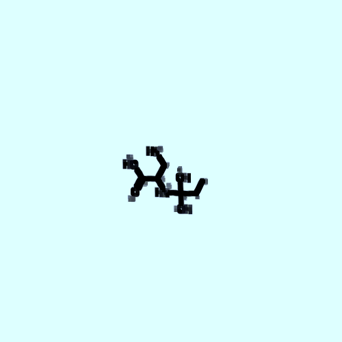 CCC(O)(O)NC(CS)C(=O)O